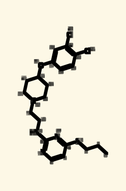 CCCSc1ccnc(NCCN2CCC(Oc3ccc(Cl)c(Cl)c3)CC2)n1